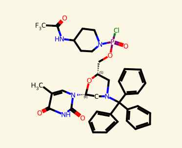 Cc1cn([C@H]2CN(C(c3ccccc3)(c3ccccc3)c3ccccc3)C[C@@H](COP(=O)(Cl)N3CCC(NC(=O)C(F)(F)F)CC3)O2)c(=O)[nH]c1=O